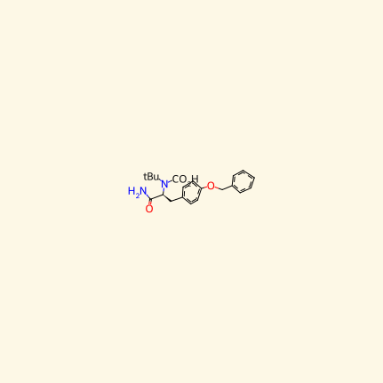 CC(C)(C)N(C(=O)O)[C@@H](Cc1ccc(OCc2ccccc2)cc1)C(N)=O